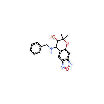 CC1(C)Oc2cc3nonc3cc2C(NCc2ccccc2)C1O